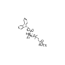 CCCCCCCCC(=O)CCC(C)(C)OC[C@@](C)(CC)NC(=O)OCC1c2ccccc2-c2ccccc21